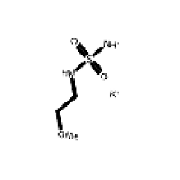 COCCNS([NH-])(=O)=O.[K+]